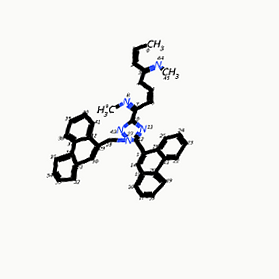 C/C=C\C(C/C=C\C(=N\C)C1N=C(c2cc3ccccc3c3ccccc23)N2C(c3cc4ccccc4c4ccccc34)[N@@]12)=N\C